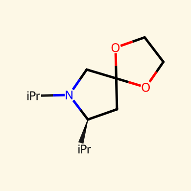 CC(C)[C@@H]1CC2(CN1C(C)C)OCCO2